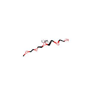 COCCOCCOCCOCCO.[CaH2]